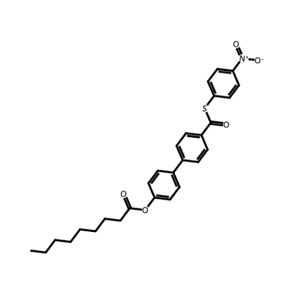 CCCCCCCCC(=O)Oc1ccc(-c2ccc(C(=O)Sc3ccc([N+](=O)[O-])cc3)cc2)cc1